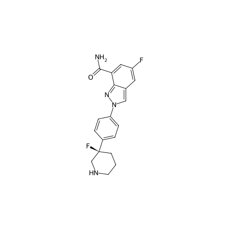 NC(=O)c1cc(F)cc2cn(-c3ccc([C@]4(F)CCCNC4)cc3)nc12